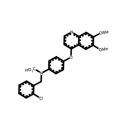 COc1cc2nccc(Oc3ccc(N(Cc4ccccc4Cl)C(=O)O)cc3)c2cc1OC